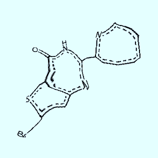 O=c1[nH]c(-c2ccccn2)nc2cc(Br)sc12